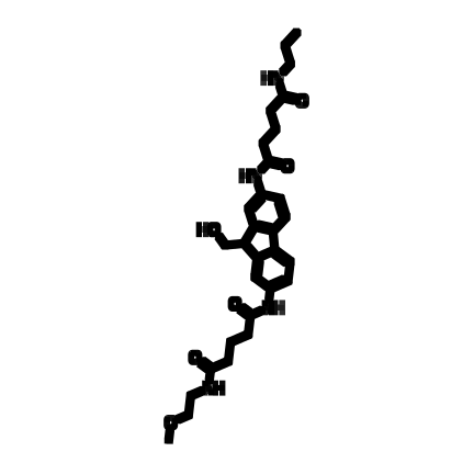 CCCNC(=O)CCCC(=O)Nc1ccc2c(c1)C(CO)c1cc(NC(=O)CCCC(=O)NCCOC)ccc1-2